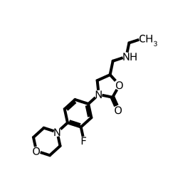 CCNCC1CN(c2ccc(N3CCOCC3)c(F)c2)C(=O)O1